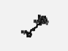 Cn1nccc1COCCCO[Si](C)(C)C(C)(C)C